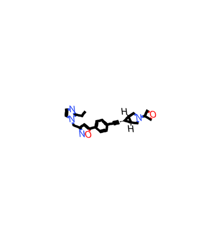 CCc1nccn1Cc1cc(-c2ccc(C#C[C@@H]3[C@H]4CN(C5COC5)C[C@@H]34)cc2)on1